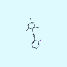 Cc1cc(C)c(C#Cc2ccccc2I)c(C)c1